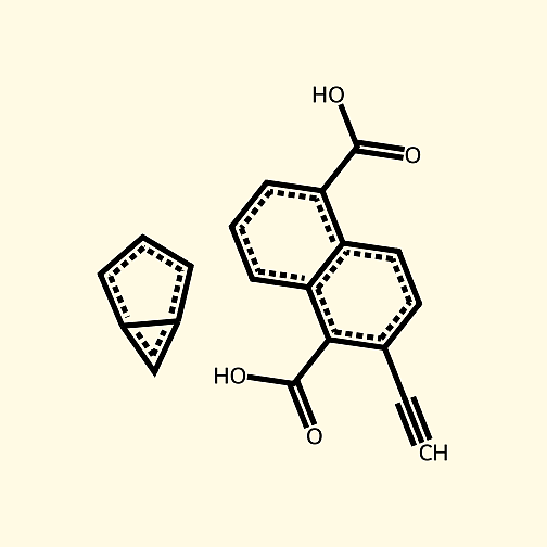 C#Cc1ccc2c(C(=O)O)cccc2c1C(=O)O.c1cc2cc-2c1